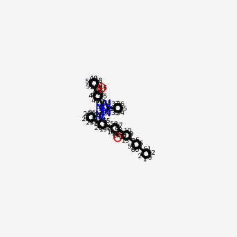 c1ccc(-c2ccc(-c3ccc4c(c3)oc3cc(-c5ccc6c7ccccc7n(-c7nc(-c8ccccc8)nc(-c8ccc9c(c8)oc8ccccc89)n7)c6c5)ccc34)cc2)cc1